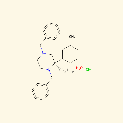 CC1CCC(C(C)C)C([C@]2(C(=O)O)CN(Cc3ccccc3)CCN2Cc2ccccc2)C1.Cl.O